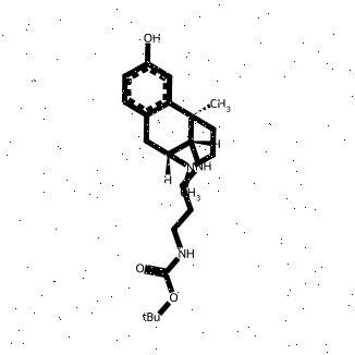 CN1CC[C@]2(C)c3cc(O)ccc3C[C@@H]1[C@H]2NCCCNC(=O)OC(C)(C)C